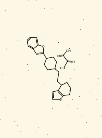 O=C(O)C(=O)O.c1ccc2oc(C3CCN(CCC4CCCc5sccc54)CC3)cc2c1